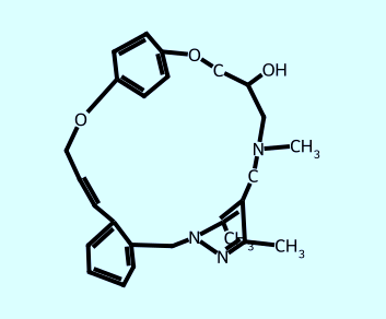 Cc1nn2c(C)c1CN(C)CC(O)COc1ccc(cc1)OC/C=C\c1ccccc1C2